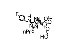 CCCSc1nc(NCc2ccc(F)cc2)c2nnn([C@H]3C[C@@H](OCCO)C4OC(C)(C)OC43)c2n1